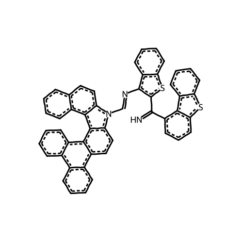 N=C(c1sc2ccccc2c1/N=C/n1c2ccc3ccccc3c2c2c3c4ccccc4c4ccccc4c3ccc21)c1cccc2sc3ccccc3c12